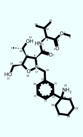 COC(=O)[C@@H](NC(=O)[C@@H]1[C@H]([C@H](C)O)[C@H](CO)ON1Cc1cccc(C2(N)CCCCC2)c1)C(C)C